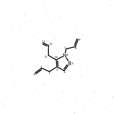 C=CCc1cbn(CC=C)c1CC=C